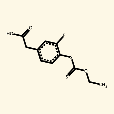 CCOC(=S)Sc1ccc(CC(=O)O)cc1F